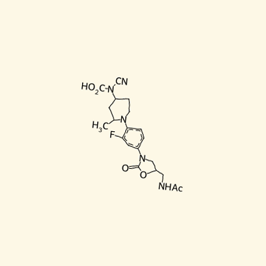 CC(=O)NCC1CN(c2ccc(N3CCC(N(C#N)C(=O)O)CC3C)c(F)c2)C(=O)O1